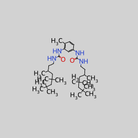 Cc1ccc(NC(=O)NCCC(C)CC(C)(C)CC(C)(C)C)cc1NC(=O)NCCC(C)CC(C)(C)CC(C)(C)C